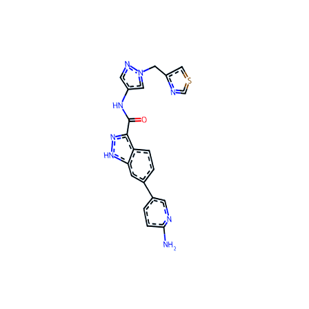 Nc1ccc(-c2ccc3c(C(=O)Nc4cnn(Cc5cscn5)c4)n[nH]c3c2)cn1